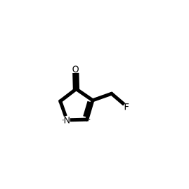 O=C1C[N][C]=C1CF